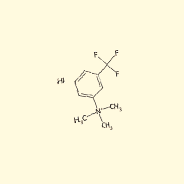 C[N+](C)(C)c1cccc(C(F)(F)F)c1.I